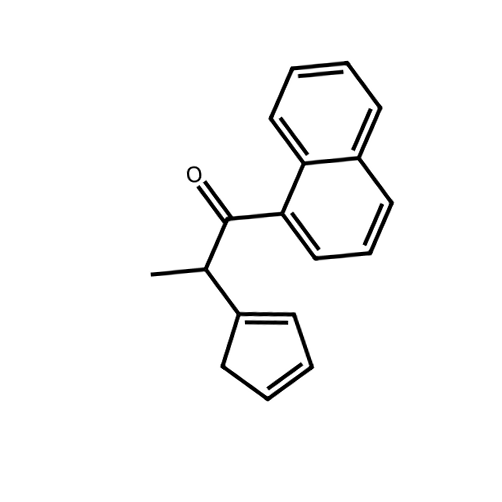 CC(C(=O)c1cccc2ccccc12)C1=CC=CC1